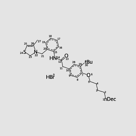 Br.CCCCCCCCCCCCCCOc1ccc(CC(=O)Nc2ccccc2CN2CSC=C2C)cc1C(C)(C)C